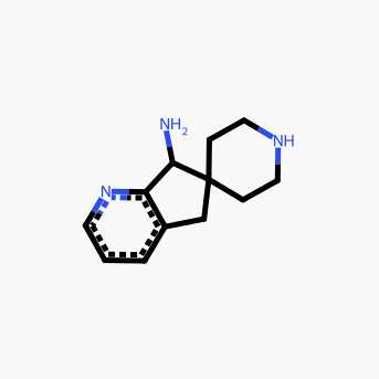 NC1c2ncccc2CC12CCNCC2